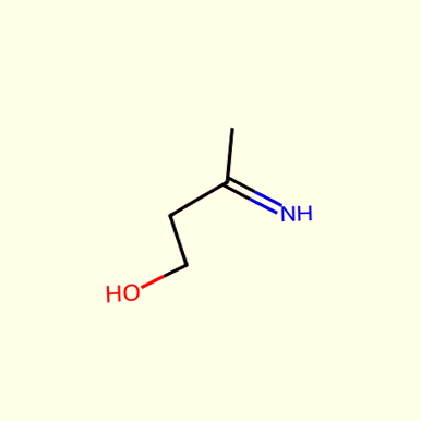 CC(=N)CCO